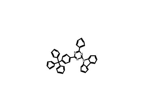 c1ccc(-c2nc(-c3ccc(C(c4ccccc4)(c4ccccc4)c4ccccc4)cc3)nc(-n3c4ccccc4c4ccccc43)n2)cc1